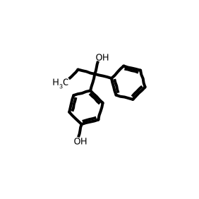 CCC(O)(c1ccccc1)c1ccc(O)cc1